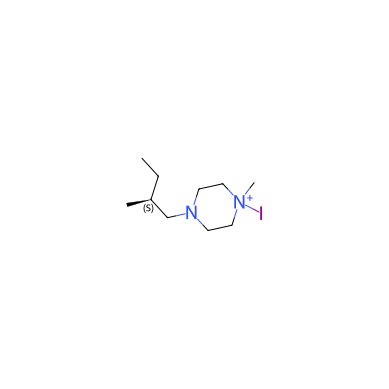 CC[C@H](C)CN1CC[N+](C)(I)CC1